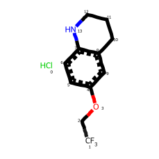 Cl.FC(F)(F)COc1ccc2c(c1)CCCN2